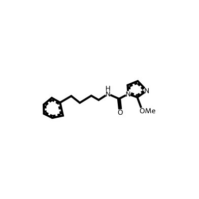 COc1nccn1C(=O)NCCCCc1ccccc1